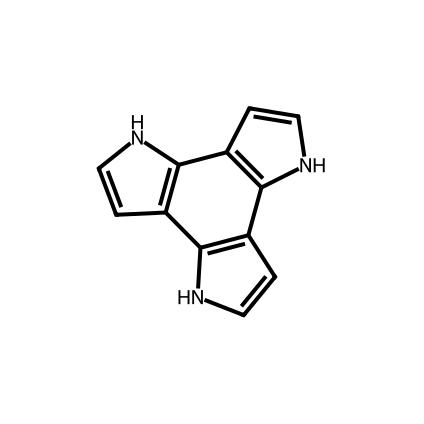 c1cc2c([nH]1)c1cc[nH]c1c1cc[nH]c21